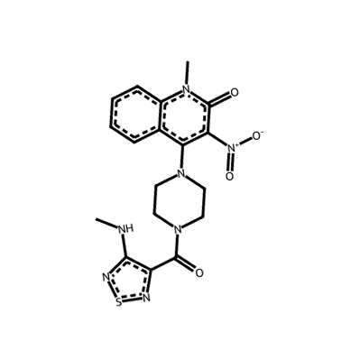 CNc1nsnc1C(=O)N1CCN(c2c([N+](=O)[O-])c(=O)n(C)c3ccccc23)CC1